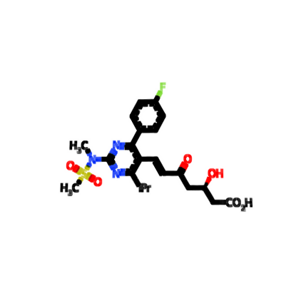 CC(C)c1nc(N(C)S(C)(=O)=O)nc(-c2ccc(F)cc2)c1C=CC(=O)C[C@@H](O)CC(=O)O